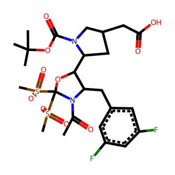 CC(=O)N1C(Cc2cc(F)cc(F)c2)C(C2CC(CC(=O)O)CN2C(=O)OC(C)(C)C)OC1(S(C)(=O)=O)S(C)(=O)=O